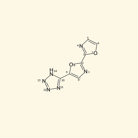 [c]1nc(-c2ncco2)oc1-c1nnn[nH]1